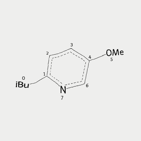 CCC(C)c1ccc(OC)cn1